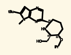 CC(C)O[C@@H]1CCC[C@H](c2cnc3cc(C(C)(C)C)n(C)c3n2)N[C@H]1CO